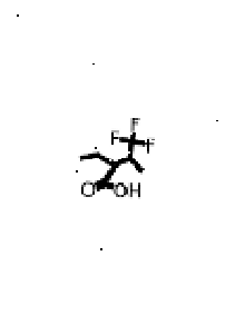 CCC([C](C)C(F)(F)F)C(=O)O